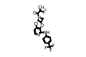 C=C(F)C(=O)N1CC(Oc2c(Cl)ccnc2Nc2ccc(C(F)(F)F)cc2)C1